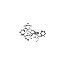 Cc1c(C2(Nc3ccccc3)CC(C)C2)ncn1C(c1ccccc1)(c1ccccc1)c1ccccc1